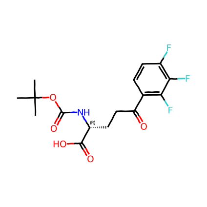 CC(C)(C)OC(=O)N[C@H](CCC(=O)c1ccc(F)c(F)c1F)C(=O)O